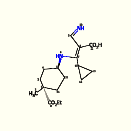 CCOC(=O)[C@]1(C)CC[C@@H](N/C(=C(\C=N)C(=O)O)C2CC2)CC1